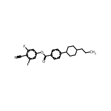 CCCC1CCC(c2ccc(C(=O)Oc3cc(F)c(C#N)c(F)c3)cc2)CC1